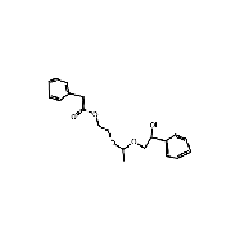 CC(OCCOC(=O)Cc1ccccc1)OCC(O)c1ccccc1